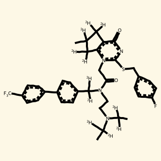 [2H]C([2H])(C)N(CCN(C(=O)Cn1c(SCc2ccc(F)cc2)nc(=O)c2c1C([2H])([2H])C([2H])(C)C2([2H])[2H])C([2H])([2H])c1ccc(-c2ccc(C(F)(F)F)cc2)cc1)C([2H])([2H])C